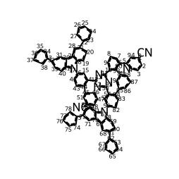 N#Cc1cccc(-c2cccc(-c3nc(-c4cc(-n5c6ccc(-c7ccccc7)cc6c6cc(-c7ccccc7)ccc65)ccc4-c4cccc(C#N)c4)nc(-c4cc(-n5c6ccc(-c7ccccc7)cc6c6cc(-c7ccccc7)ccc65)ccc4-c4cccc(C#N)c4)n3)c2)c1